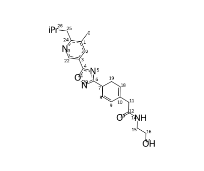 Cc1cc(-c2nc(C3C=CC(CC(=O)NCCO)=CC3)no2)cnc1CC(C)C